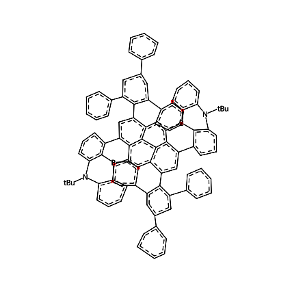 CC(C)(C)N1c2ccccc2B2c3c(cccc31)-c1cc(-c3c(-c4ccccc4)cc(-c4ccccc4)cc3-c3ccccc3)c3cc4c5c(cc(-c6c(-c7ccccc7)cc(-c7ccccc7)cc6-c6ccccc6)c6cc2c1c3c65)-c1cccc2c1B4c1ccccc1N2C(C)(C)C